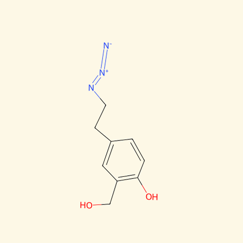 [N-]=[N+]=NCCc1ccc(O)c(CO)c1